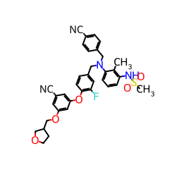 Cc1c(NS(C)(=O)=O)cccc1N(Cc1ccc(C#N)cc1)Cc1ccc(Oc2cc(C#N)cc(OCC3CCOC3)c2)c(F)c1